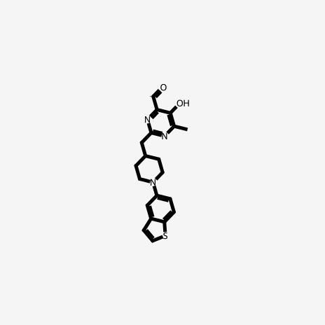 Cc1nc(CC2CCN(c3ccc4sccc4c3)CC2)nc([C]=O)c1O